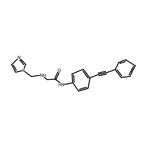 O=C(CNCn1ccnc1)Nc1ccc(C#Cc2ccccc2)cc1